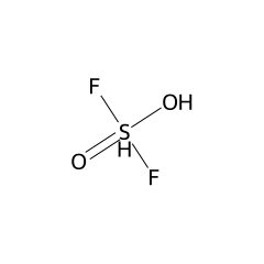 O=[SH](O)(F)F